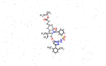 Cc1cccc(C)c1-c1cc2nc(n1)NS(=O)(=O)c1cccc(c1)C(=O)N([C@H]1CC[C@H](CCC(=O)OC(C)C)CC1)[C@H](CC(C)C)CO2